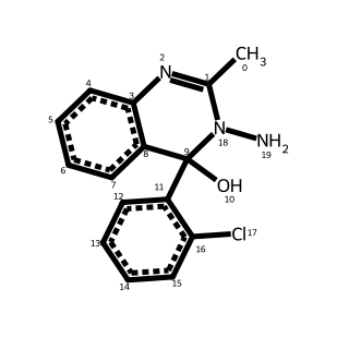 CC1=Nc2ccccc2C(O)(c2ccccc2Cl)N1N